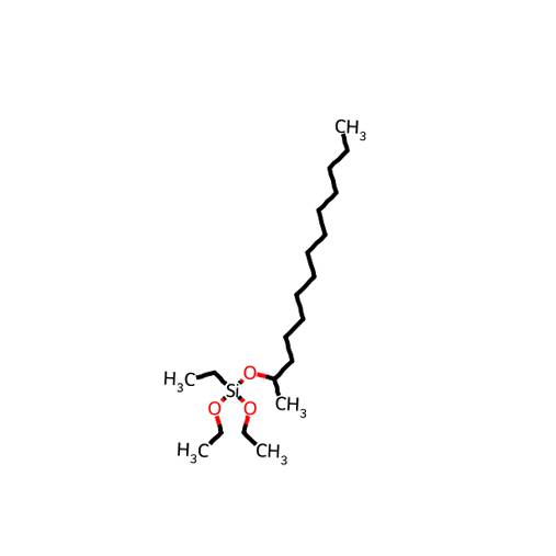 CCCCCCCCCCCCC(C)O[Si](CC)(OCC)OCC